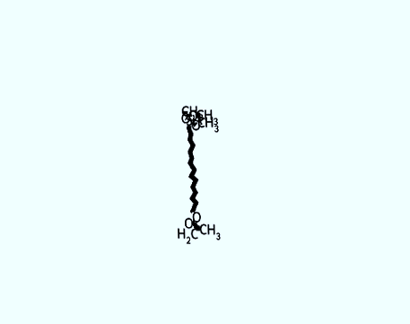 C=C(C)C(=O)OCCCCCCCCCCCCCCC[Si](OC)(OC)OC